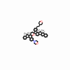 CCC1(CC)c2ccccc2-c2c1c1c(c3cc(N4CCOCC4)ccc23)OC(c2ccc(CCC3CCOCC3)cc2)(c2ccc3c(c2)C(C)(C)c2cc4ccccc4cc2-3)C=C1